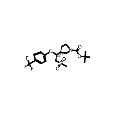 CC(C)(C)OC(=O)N1CC[C@H]([C@@H](CS(C)(=O)=O)Oc2ccc(C(F)(F)F)cc2)C1